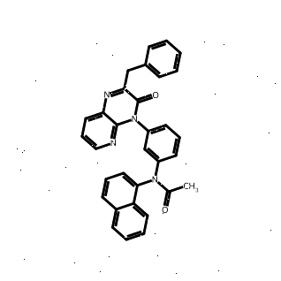 CC(=O)N(c1cccc(-n2c(=O)c(Cc3ccccc3)nc3cccnc32)c1)c1cccc2ccccc12